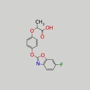 CC(Oc1ccc(Oc2nc3ccc(F)cc3o2)cc1)C(=O)O